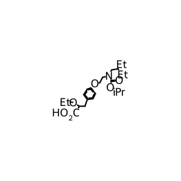 CCOC(Cc1ccc(OCCN(CC(CC)CC)C(=O)OC(C)C)cc1)C(=O)O